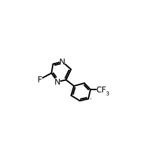 Fc1cncc(-c2cc[c]c(C(F)(F)F)c2)n1